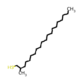 CCCCCCCCCCCCCCCCCCC(C)CS